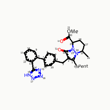 CCCCCc1c(Cc2ccc(-c3ccccc3-c3nnn[nH]3)cc2)c(=O)n2n1C(C)CCC2C(=O)OC